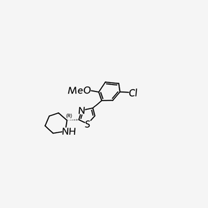 COc1ccc(Cl)cc1-c1csc([C@H]2CCCCN2)n1